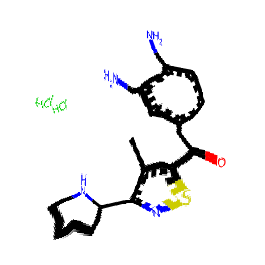 Cc1c(C2CCCN2)nsc1C(=O)c1ccc(N)c(N)c1.Cl.Cl